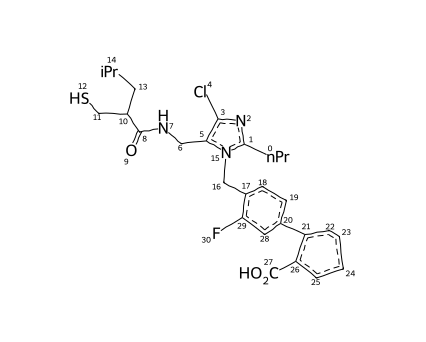 CCCc1nc(Cl)c(CNC(=O)C(CS)CC(C)C)n1Cc1ccc(-c2ccccc2C(=O)O)cc1F